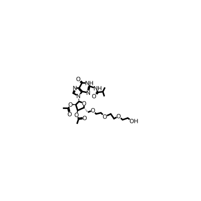 CC(=O)O[C@@H]1[C@H](OC(C)=O)[C@@H](COCCOCCOCCO)O[C@H]1n1cnc2c(=O)[nH]c(NC(=O)C(C)C)nc21